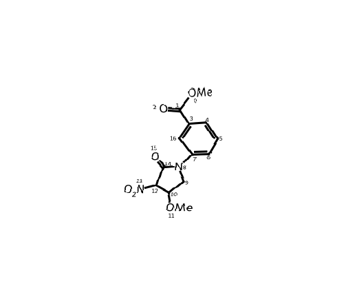 COC(=O)c1cccc(N2CC(OC)C([N+](=O)[O-])C2=O)c1